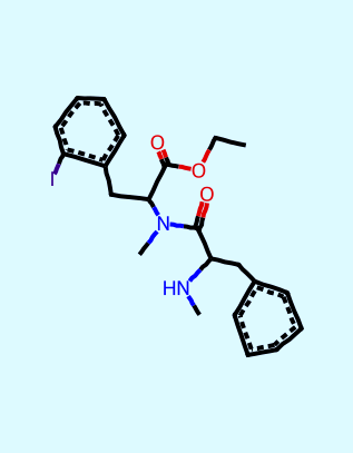 CCOC(=O)C(Cc1ccccc1I)N(C)C(=O)C(Cc1ccccc1)NC